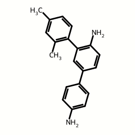 Cc1ccc(-c2cc(-c3ccc(N)cc3)ccc2N)c(C)c1